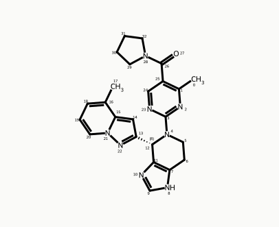 Cc1nc(N2CCc3[nH]cnc3[C@@H]2c2cc3c(C)cccn3n2)ncc1C(=O)N1CCCC1